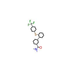 CN(C)C(=O)c1cccc(-c2ccccc2Sc2ccc(C(F)(F)F)cc2)c1